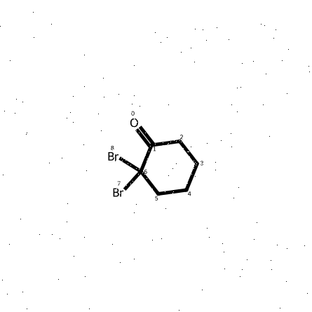 O=C1CCCCC1(Br)Br